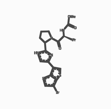 COC(=O)N[C@H](C(=O)N1CCCC1c1nc(-c2csc3c(Br)csc23)c[nH]1)C(C)C